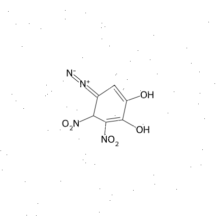 [N-]=[N+]=C1C=C(O)C(O)=C([N+](=O)[O-])C1[N+](=O)[O-]